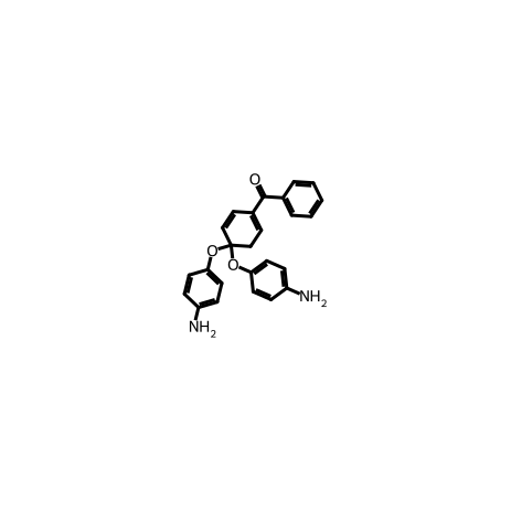 Nc1ccc(OC2(Oc3ccc(N)cc3)C=CC(C(=O)c3ccccc3)=CC2)cc1